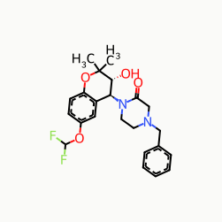 CC1(C)Oc2ccc(OC(F)F)cc2[C@H](N2CCN(Cc3ccccc3)CC2=O)[C@H]1O